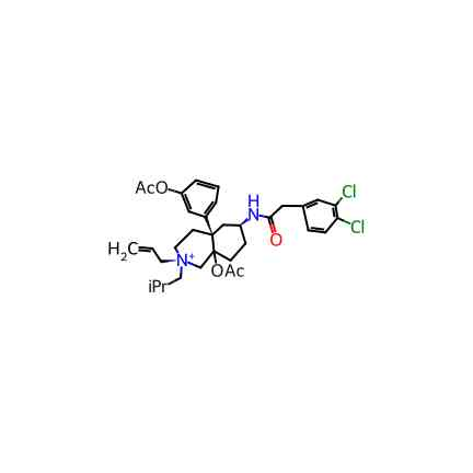 C=CC[N@@+]1(CC(C)C)CC[C@]2(c3cccc(OC(C)=O)c3)C[C@@H](NC(=O)Cc3ccc(Cl)c(Cl)c3)CCC2(OC(C)=O)C1